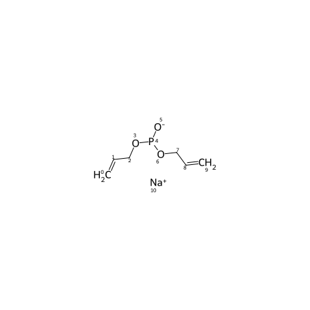 C=CCOP([O-])OCC=C.[Na+]